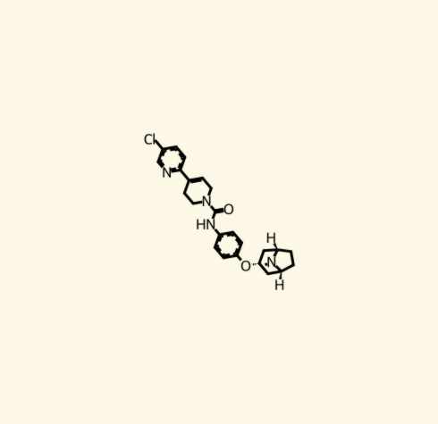 CN1[C@@H]2CC[C@H]1C[C@@H](Oc1ccc(NC(=O)N3CC=C(c4ccc(Cl)cn4)CC3)cc1)C2